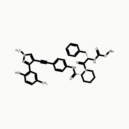 Cc1ccc(O)c(-c2nn(C)cc2C#Cc2ccc(NC(=O)[C@H]3CCCCN3C(=O)[C@H](Cc3ccccc3)NC(=O)OC(C)(C)C)cc2)c1